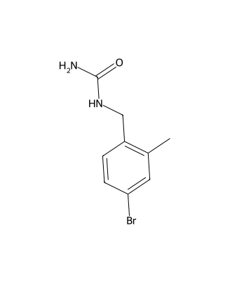 Cc1cc(Br)ccc1CNC(N)=O